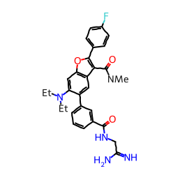 CCN(CC)c1cc2oc(-c3ccc(F)cc3)c(C(=O)NC)c2cc1-c1cccc(C(=O)NCC(=N)N)c1